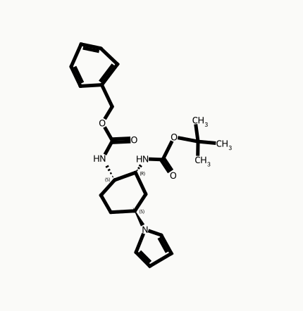 CC(C)(C)OC(=O)N[C@@H]1C[C@@H](n2cccc2)CC[C@@H]1NC(=O)OCc1ccccc1